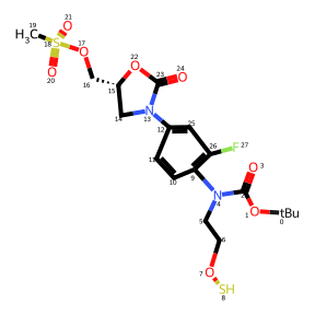 CC(C)(C)OC(=O)N(CCOS)c1ccc(N2C[C@H](COS(C)(=O)=O)OC2=O)cc1F